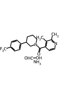 Cc1nccc(C(=O)N2CCCC(c3ccc(C(F)(F)F)cc3)C2)c1C.N.O=CO